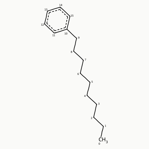 CCCCCCCCCCc1[c]cc[c]c1